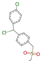 CCS(=O)(=O)Cc1ccc(C(Cl)c2ccc(Cl)cc2)cc1